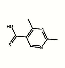 Cc1ncc(C(O)=S)c(C)n1